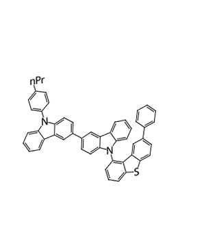 CCCc1ccc(-n2c3ccccc3c3cc(-c4ccc5c(c4)c4ccccc4n5-c4cccc5sc6ccc(-c7ccccc7)cc6c45)ccc32)cc1